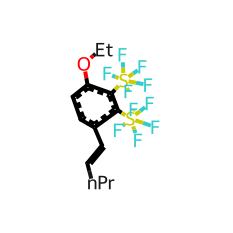 CCC/C=C/c1ccc(OCC)c(S(F)(F)(F)(F)F)c1S(F)(F)(F)(F)F